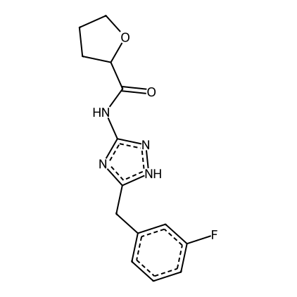 O=C(Nc1n[nH]c(Cc2cccc(F)c2)n1)C1CCCO1